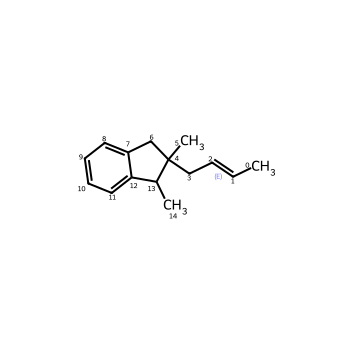 C/C=C/CC1(C)Cc2ccccc2C1C